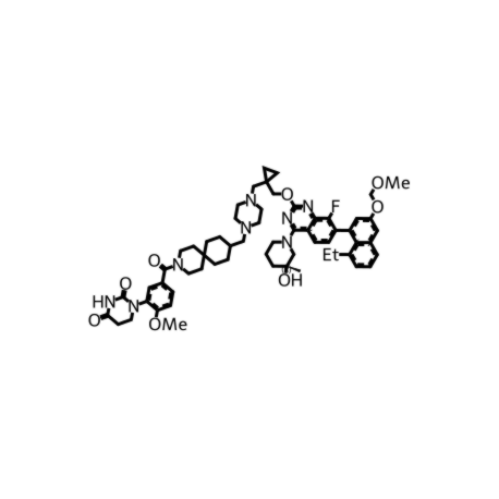 CCc1cccc2cc(OCOC)cc(-c3ccc4c(N5CCC[C@@](C)(O)C5)nc(OCC5(CN6CCN(CC7CCC8(CC7)CCN(C(=O)c7ccc(OC)c(N9CCC(=O)NC9=O)c7)CC8)CC6)CC5)nc4c3F)c12